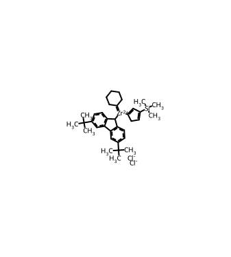 CC(C)(C)c1ccc2c(c1)-c1cc(C(C)(C)C)ccc1[CH]2[Zr+2]([C]1=CC([Si](C)(C)C)=CC1)=[C]1CCCCC1.[Cl-].[Cl-]